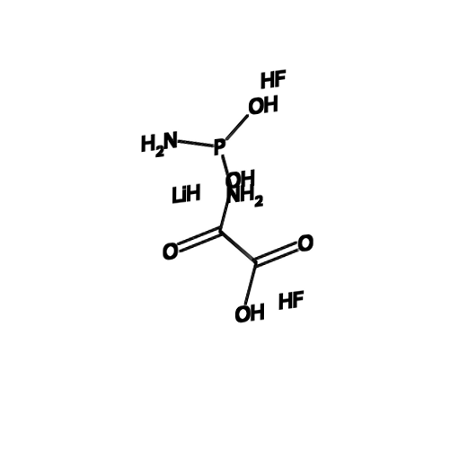 F.F.NP(N)O.O=C(O)C(=O)O.[LiH]